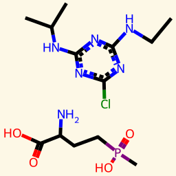 CCNc1nc(Cl)nc(NC(C)C)n1.CP(=O)(O)CCC(N)C(=O)O